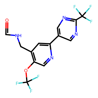 O=CNCc1cc(-c2cnc(C(F)(F)F)nc2)ncc1OC(F)(F)F